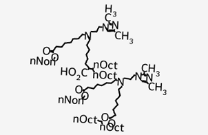 CCCCCCCCCOC(=O)CCCCCCCN(CCCCCCC(C(=O)O)C(CCCCCCCC)CCCCCCCC)CCCn1cc(C)nc1C.CCCCCCCCCOC(=O)CCCCCCCN(CCCCCCCC(=O)OC(CCCCCCCC)CCCCCCCC)CCCn1cc(C)nc1C